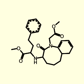 COC(=O)CN1C(=O)C(NC(CCc2ccccc2)C(=O)OC)CCCC2CC=CC=C21